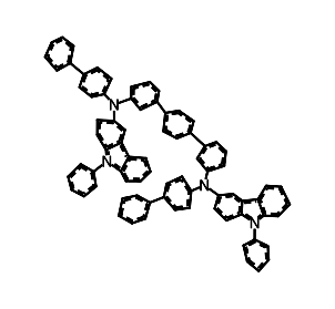 c1ccc(-c2ccc(N(c3cccc(-c4ccc(-c5cccc(N(c6ccc(-c7ccccc7)cc6)c6ccc7c(c6)c6ccccc6n7-c6ccccc6)c5)cc4)c3)c3ccc4c(c3)c3ccccc3n4-c3ccccc3)cc2)cc1